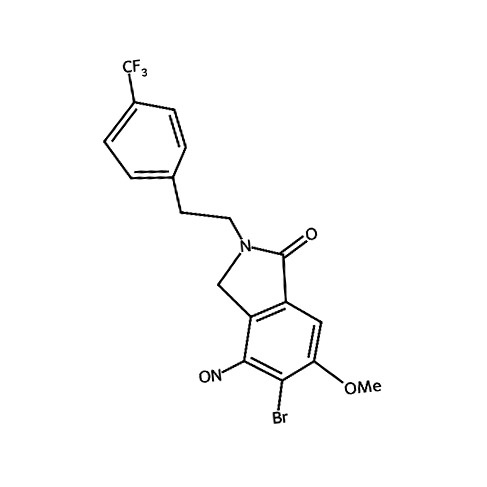 COc1cc2c(c(N=O)c1Br)CN(CCc1ccc(C(F)(F)F)cc1)C2=O